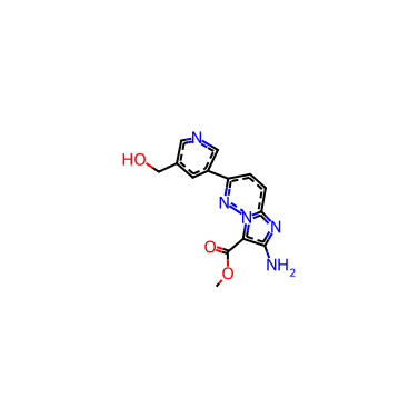 COC(=O)c1c(N)nc2ccc(-c3cncc(CO)c3)nn12